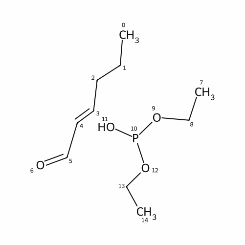 CCCC=CC=O.CCOP(O)OCC